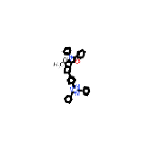 CC1(C)c2ccc(-c3ccc(-c4nc(-c5ccccc5)nc(-c5ccccc5)n4)cc3)cc2-c2c1n(-c1ccccc1)c1c2oc2ccccc21